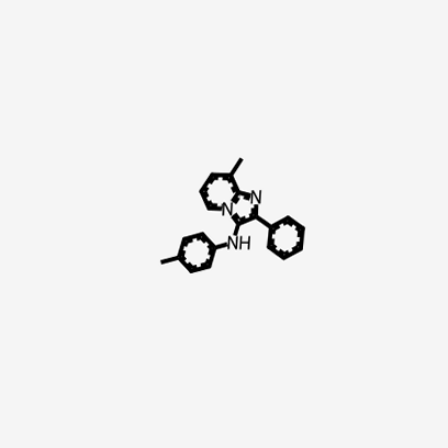 Cc1ccc(Nc2c(-c3ccccc3)nc3c(C)cccn23)cc1